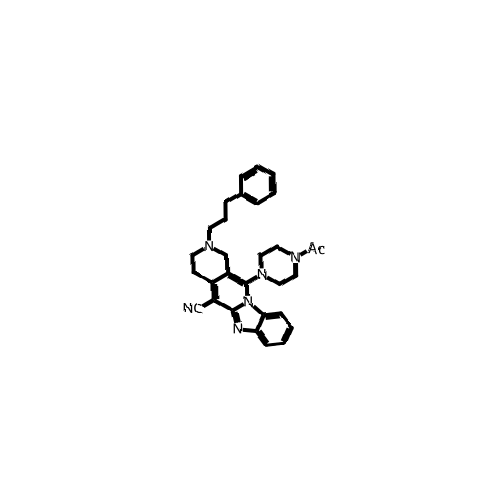 CC(=O)N1CCN(c2c3c(c(C#N)c4nc5ccccc5n24)CCN(CCCc2ccccc2)C3)CC1